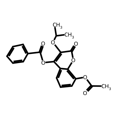 CC(=O)Oc1cccc2c(OC(=O)c3ccccc3)c(OC(C)C)c(=O)oc12